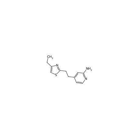 CCc1csc(CCc2ccnc(N)c2)n1